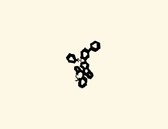 c1ccc(-c2ccc3c(c2)c2cc4c(cc2n3-c2ccccc2)C2(c3ccccc3Sc3ccccc32)c2ccccc2-4)cc1